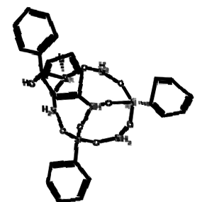 OC(c1ccccc1)[Si@@H]1O[SiH2]O[Si]2(c3ccccc3)O[SiH2]O[Si@](c3ccccc3)(O[SiH2]O1)O[SiH](c1ccccc1)O2